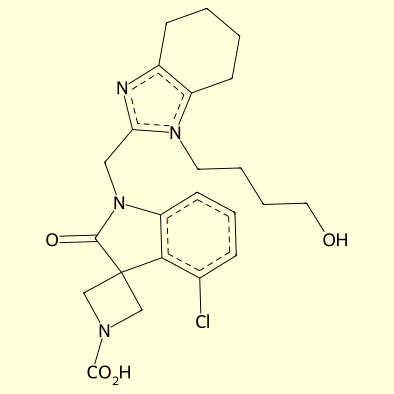 O=C(O)N1CC2(C1)C(=O)N(Cc1nc3c(n1CCCCO)CCCC3)c1cccc(Cl)c12